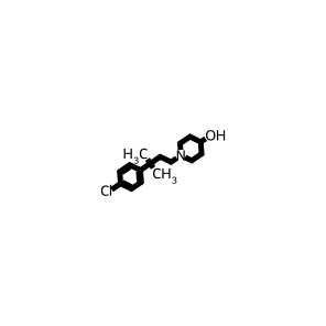 CC(C)(CCN1CCC(O)CC1)c1ccc(Cl)cc1